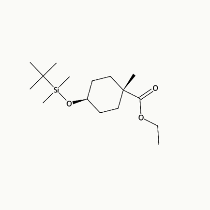 CCOC(=O)[C@]1(C)CC[C@@H](O[Si](C)(C)C(C)(C)C)CC1